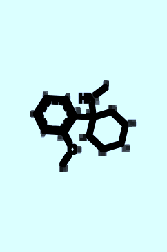 CNC1(c2ccccc2OC)CCCCC1